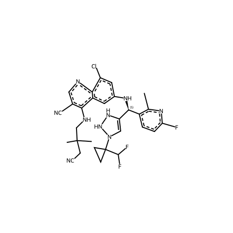 Cc1nc(F)ccc1[C@H](Nc1cc(Cl)c2ncc(C#N)c(NCC(C)(C)CC#N)c2c1)C1=CN(C2(C(F)F)CC2)NN1